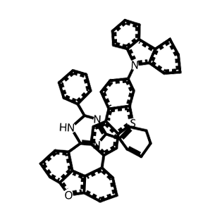 C1=CC(C2=NC(c3ccccc3)NC(c3cccc4oc5cccc(-c6ccc7c(c6)sc6cc(-n8c9ccccc9c9ccccc98)ccc67)c5c34)=N2)=CCC1